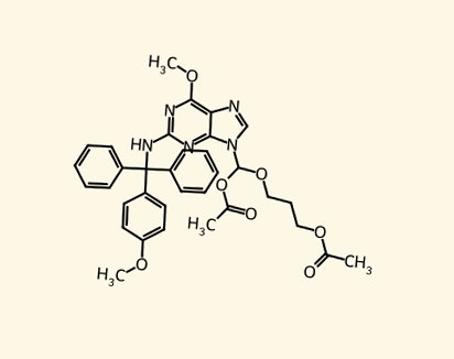 COc1ccc(C(Nc2nc(OC)c3ncn(C(OCCCOC(C)=O)OC(C)=O)c3n2)(c2ccccc2)c2ccccc2)cc1